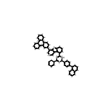 C1=CCC(C2=NC(c3ccc(-c4cccc5ccccc45)cc3)NC(c3cccc4oc5c(-c6ccc7c8ccccc8c8ccccc8c7c6)cncc5c34)=N2)C=C1